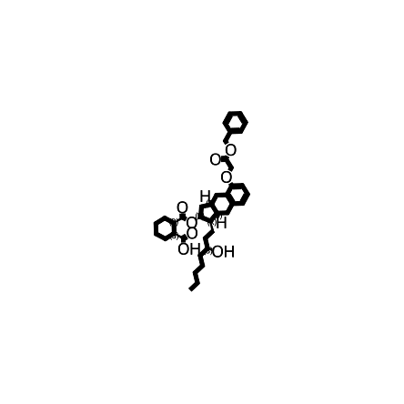 CCCCC[C@H](O)CC[C@@H]1[C@H]2Cc3cccc(OCC(=O)OCc4ccccc4)c3C[C@H]2C[C@H]1OC(=O)[C@@H]1CCCC[C@@H]1C(=O)O